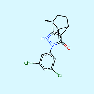 CC1(C)C2CC[C@@]1(C)c1[nH]n(-c3cc(Cl)cc(Cl)c3)c(=O)c12